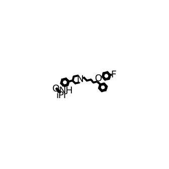 CC(C)C(=O)Nc1cccc(C2CCN(CCCCC(Oc3ccc(F)cc3)c3ccccc3)CC2)c1